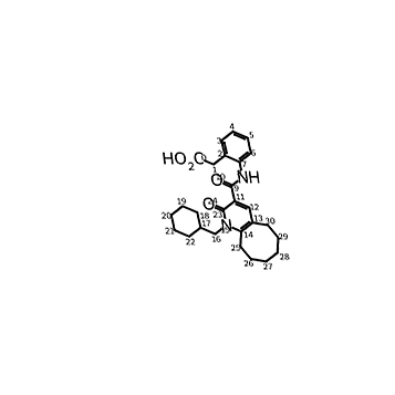 O=C(O)Cc1ccccc1NC(=O)c1cc2c(n(CC3CCCCC3)c1=O)CCCCCC2